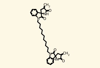 C=C1CC2(NC1=O)C(=O)N(CCCCCCCCCCCN1C(=O)C3(CC(=C)C(=O)N3)c3ccccc31)c1ccccc12